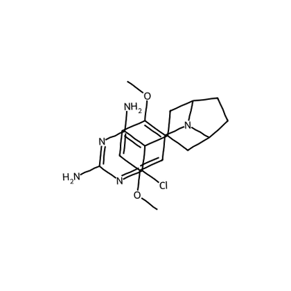 COc1ccc(OC)c(N2C3CCC2CC(c2c(N)nc(N)nc2Cl)C3)c1